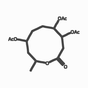 CC(=O)OC1CCC(OC(C)=O)C(OC(C)=O)CC(=O)OC(C)C1